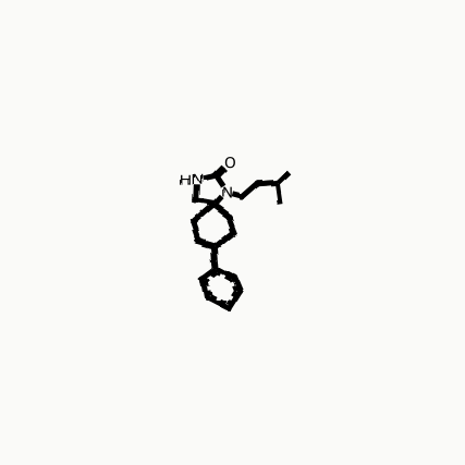 CC(C)CCN1C(=O)NCC12CCC(c1ccccc1)CC2